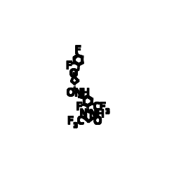 O=c1cc(C(F)(F)F)nc(-c2c(C(F)(F)F)ccc(CNC(=O)[C@H]3C[C@H](OCc4ccc(F)cc4F)C3)c2F)[nH]1